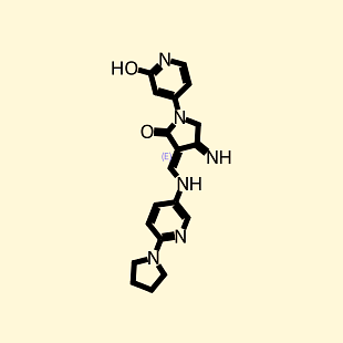 N=C1CN(c2ccnc(O)c2)C(=O)/C1=C/Nc1ccc(N2CCCC2)nc1